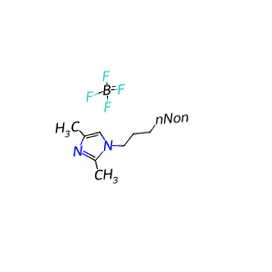 CCCCCCCCCCCCn1cc(C)nc1C.F[B-](F)(F)F